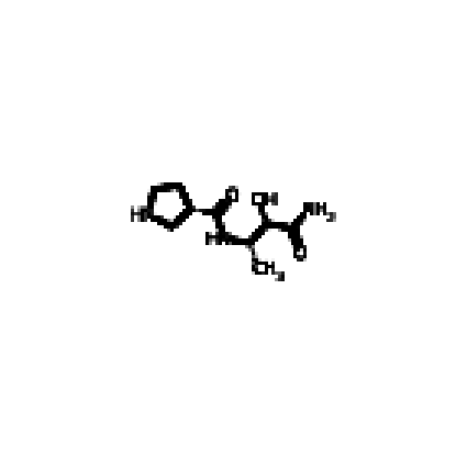 C[C@H](NC(=O)[C@H]1CCNC1)[C@@H](O)C(N)=O